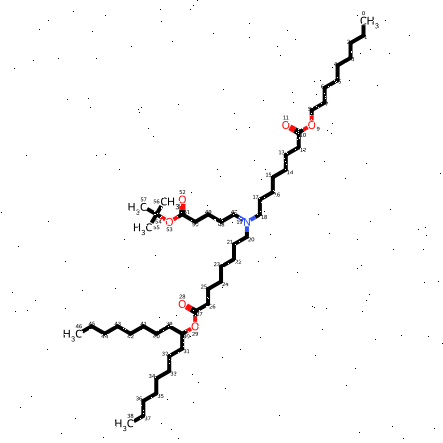 CCCCCCCCCOC(=O)CCCCCCCN(CCCCCCCC(=O)OC(CCCCCCCC)CCCCCCCC)CCCCC(=O)OC(C)(C)C